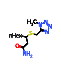 CCCCCCC(CC(N)=O)SCc1nnnn1C